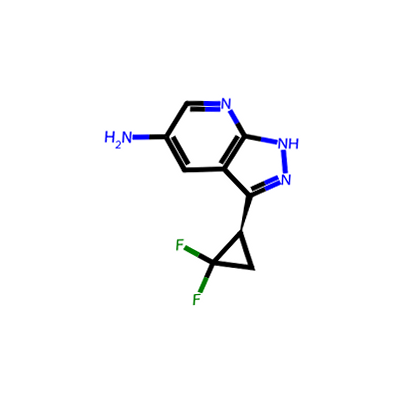 Nc1cnc2[nH]nc([C@H]3CC3(F)F)c2c1